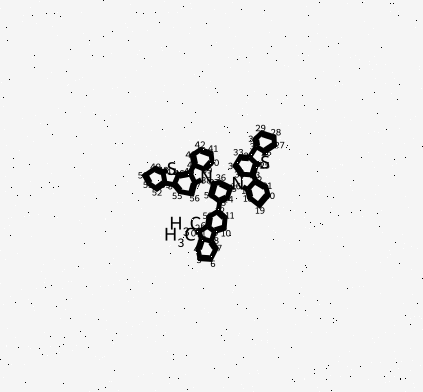 CC1(C)c2ccccc2-c2ccc(-c3cc(-n4c5ccccc5c5c6sc7ccccc7c6ccc54)cc(-n4c5ccccc5c5c6sc7ccccc7c6ccc54)c3)cc21